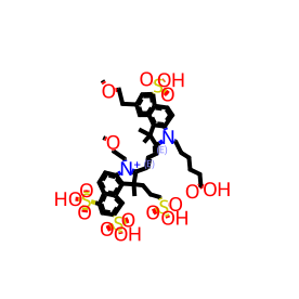 COCCc1cc(S(=O)(=O)O)c2ccc3c(c2c1)C(C)(C)/C(=C\C=C\C1=[N+](CCOC)c2ccc4c(S(=O)(=O)O)cc(S(=O)(=O)O)cc4c2C1(C)CCCS(=O)(=O)O)N3CCCCCC(=O)O